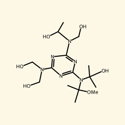 COC(C)(C)N(c1nc(N(CO)CO)nc(N(CO)C(C)O)n1)C(C)(C)O